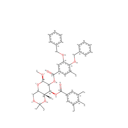 CO[C@@H]1OC2COC(C)(C)O[C@H]2[C@H](OC(=O)c2cc(C)c(C)c(C)c2)C1OC(=O)c1cc(C)c(OCc2ccccc2)c(OCc2ccccc2)c1